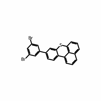 Brc1cc(Br)cc(-c2ccc3c(c2)Sc2cccc4cccc-3c24)c1